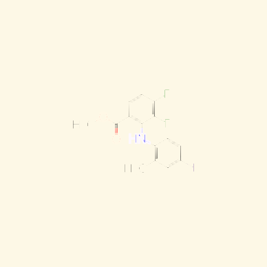 COC(=O)c1ccc(F)c(F)c1Nc1ccc(I)cc1C